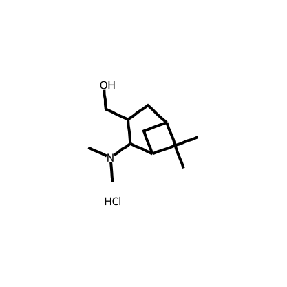 CN(C)C1C(CO)CC2CC1C2(C)C.Cl